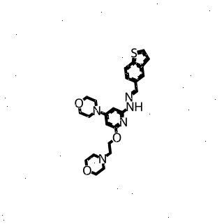 C(=NNc1cc(N2CCOCC2)cc(OCCN2CCOCC2)n1)c1ccc2sccc2c1